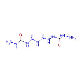 NNC(=O)NNNNNNC(=O)NN